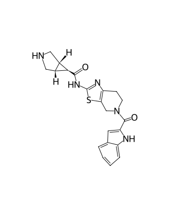 O=C(Nc1nc2c(s1)CN(C(=O)c1cc3ccccc3[nH]1)CC2)[C@H]1[C@@H]2CNC[C@@H]21